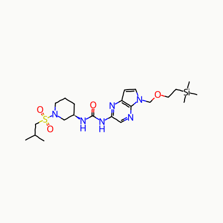 CC(C)CS(=O)(=O)N1CCC[C@@H](NC(=O)Nc2cnc3c(ccn3COCC[Si](C)(C)C)n2)C1